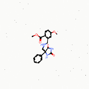 COC(=O)c1ccc(OC)cc1CNCC1(c2ccccc2)NC(=O)NC1=O